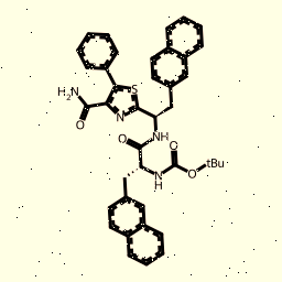 CC(C)(C)OC(=O)N[C@H](Cc1ccc2ccccc2c1)C(=O)N[C@H](Cc1ccc2ccccc2c1)c1nc(C(N)=O)c(-c2ccccc2)s1